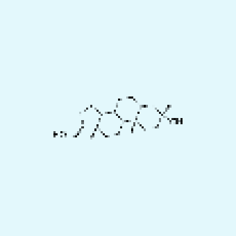 C[C@@]1(O)CC[C@@]2(C)C(CCC3C2CC[C@@]2(C)C3CC[C@@H]2CO)C1